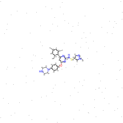 Cc1cc(C)c(-c2cc(Oc3ccc(N4CCNCC4)cc3)nc(NSc3cnn(C)c3)n2)c(C)c1